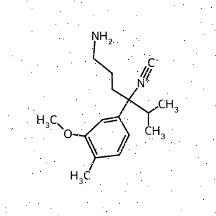 [C-]#[N+]C(CCCN)(c1ccc(C)c(OC)c1)C(C)C